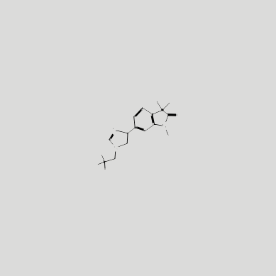 CN1C(=O)C(C)(C)c2ccc(C3CN(CC(F)(F)F)C=N3)cc21